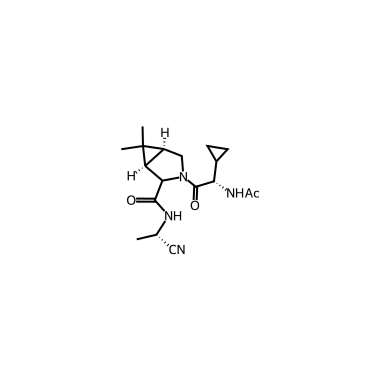 CC(=O)N[C@H](C(=O)N1C[C@H]2[C@@H](C1C(=O)N[C@@H](C)C#N)C2(C)C)C1CC1